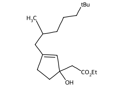 CCOC(=O)CC1(O)C=C(CC(C)CCCC(C)(C)C)CC1